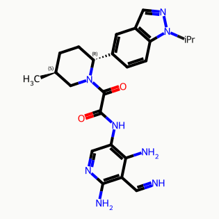 CC(C)n1ncc2cc([C@H]3CC[C@H](C)CN3C(=O)C(=O)Nc3cnc(N)c(C=N)c3N)ccc21